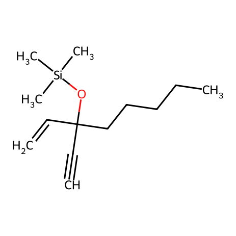 C#CC(C=C)(CCCCC)O[Si](C)(C)C